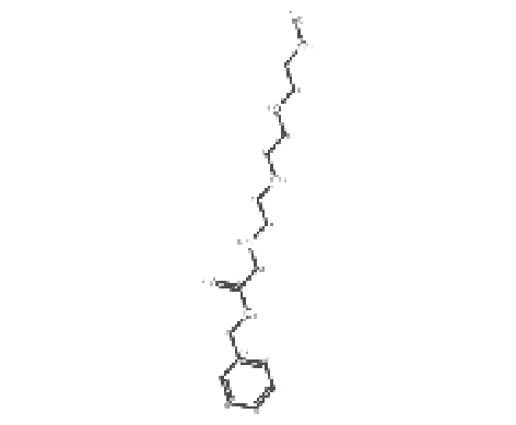 CCOCCOCCOCCOCC(=O)OCc1ccccc1